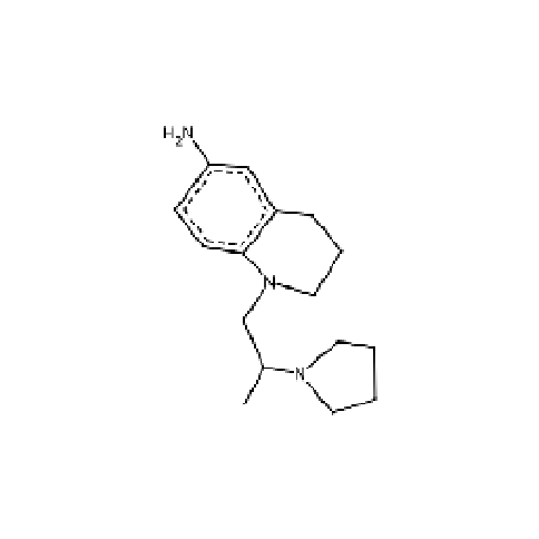 CC(CN1CCCc2cc(N)ccc21)N1CCCC1